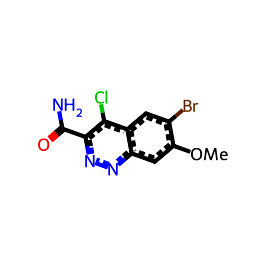 COc1cc2nnc(C(N)=O)c(Cl)c2cc1Br